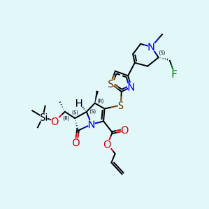 C=CCOC(=O)C1=C(Sc2nc(C3=CCN(C)[C@H](CF)C3)cs2)[C@H](C)[C@@H]2[C@@H]([C@@H](C)O[Si](C)(C)C)C(=O)N12